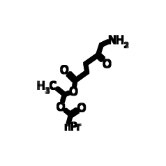 CCCC(=O)OC(C)OC(=O)CCC(=O)CN